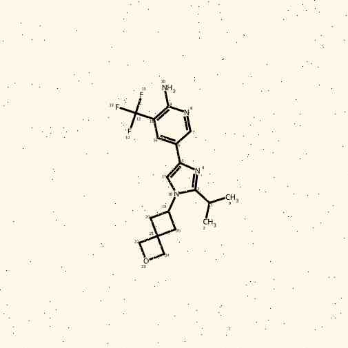 CC(C)c1nc(-c2cnc(N)c(C(F)(F)F)c2)cn1C1CC2(COC2)C1